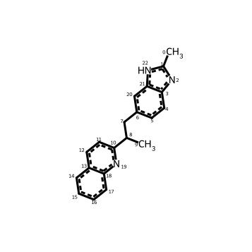 Cc1nc2ccc(CC(C)c3ccc4ccccc4n3)cc2[nH]1